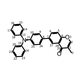 Cc1coc2ccc(-c3ccc(N(c4ccccc4)c4ccccc4)cc3)cc2c1=O